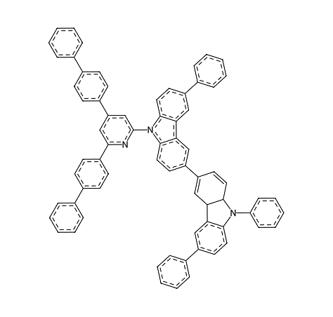 C1=CC2C(C=C1c1ccc3c(c1)c1cc(-c4ccccc4)ccc1n3-c1cc(-c3ccc(-c4ccccc4)cc3)cc(-c3ccc(-c4ccccc4)cc3)n1)c1cc(-c3ccccc3)ccc1N2c1ccccc1